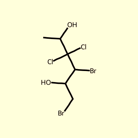 CC(O)C(Cl)(Cl)C(Br)C(O)CBr